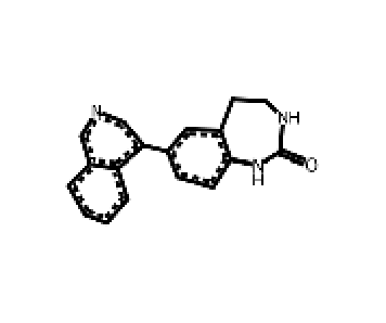 O=C1NCCc2cc(-c3cncc4ccccc34)ccc2N1